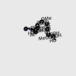 CO[C@H]1C[C@H](O[C@H]2[C@@H](OC)C[C@H](O[C@H]3CC[C@@]4(C)C(=CC[C@]5(O)[C@@H]4C[C@@H](OC(=O)/C=C/c4ccccc4)[C@@]4(C)[C@]5(O)CC[C@@]4(O)C(C)=O)C3)O[C@@H]2C)O[C@@H](C)[C@H]1O[C@H]1C[C@H](OC)[C@H](O[C@H]2C[C@@H](OC)[C@@H](O[C@@H]3O[C@H](CO)[C@@H](O)[C@H](O)[C@H]3O)[C@H](C)O2)[C@@H](C)O1